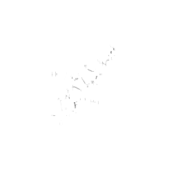 CC(C)(C)OC(=O)N(Cc1cc2ncc(CN=[N+]=[N-])cc2n1C(=O)O)CC1CCC1